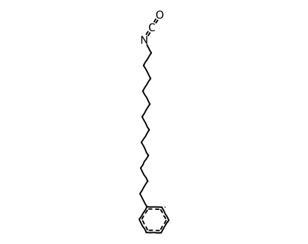 O=C=NCCCCCCCCCCCCc1[c]cccc1